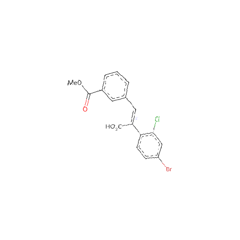 COC(=O)c1cccc(/C=C(\C(=O)O)c2ccc(Br)cc2Cl)c1